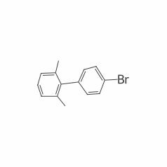 Cc1cccc(C)c1-c1ccc(Br)cc1